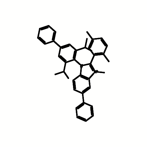 Cc1ccc(C)c(-c2n(-c3c(C(C)C)cc(-c4ccccc4)cc3C(C)C)c3ccc(-c4ccccc4)cc3[n+]2C)c1